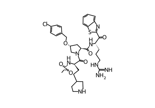 CS(=O)(=O)N[C@H](CCC1CCNCC1)C(=O)N1C[C@H](OCc2ccc(Cl)cc2)C[C@H]1C(=O)N[C@@H](CCCNC(=N)N)C(=O)c1nc2ccccc2s1